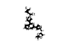 CCC(C1CC1(F)F)n1cc(-c2nc(-c3cnn(C[C@@H]4COC(C)(C)O4)c3)cn3nccc23)cn1